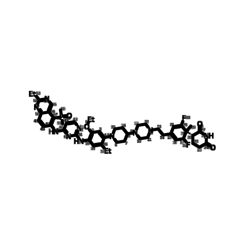 CCOc1cc(N2CCC(N3CCN(CCC4=CC(F)C(C)([C@H]5CCC(=O)NC5=O)C(F)=C4)CC3)CC2)c(CC)cc1Nc1nccc(Nc2ccc3nc(CC)ncc3c2P(C)(C)=O)n1